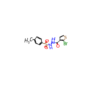 Cc1ccc(S(=O)(=O)NNC(=O)c2ccsc2Br)cc1